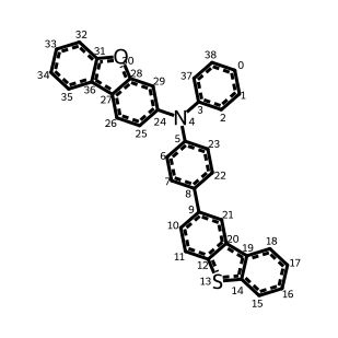 c1ccc(N(c2ccc(-c3ccc4sc5ccccc5c4c3)cc2)c2ccc3c(c2)oc2ccccc23)cc1